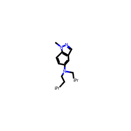 CC(C)CCN(CC(C)C)c1ccc2c(cnn2C)c1